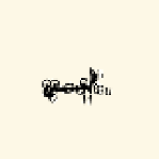 CC(C)(C)C(CN=[N+]=[N-])NC(=O)OCCOCCCC(=O)N1C(=O)CCC1=O